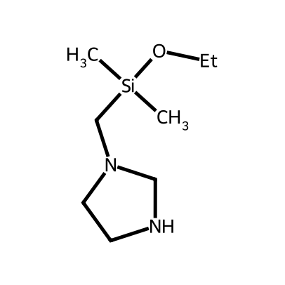 CCO[Si](C)(C)CN1CCNC1